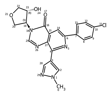 Cn1cc(-c2nc(-c3ccc(Cl)cc3)cc3c(=O)n([C@H]4COC[C@@H]4O)cnc23)cn1